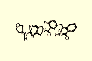 O=C(c1cc(Cc2n[nH]c(=O)c3ccccc23)ccc1F)N1Cc2cnc(N[C@@H]3CCOC3)nc2C1